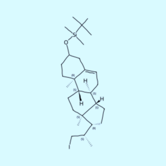 C[C@H](CI)[C@H]1CC[C@H]2[C@@H]3CC=C4CC(O[Si](C)(C)C(C)(C)C)CC[C@]4(C)[C@H]3CC[C@]12C